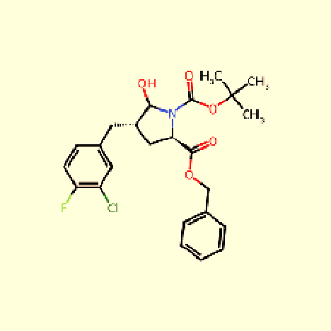 CC(C)(C)OC(=O)N1C(O)[C@@H](Cc2ccc(F)c(Cl)c2)C[C@@H]1C(=O)OCc1ccccc1